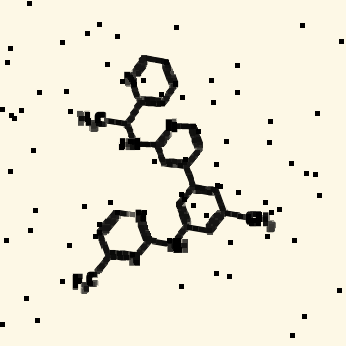 Cc1cc(Nc2nccc(C(F)(F)F)n2)cc(-c2ccnc(NC(C)c3ccccn3)c2)c1